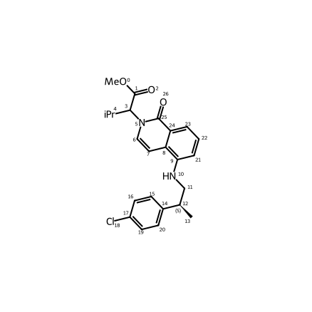 COC(=O)C(C(C)C)n1ccc2c(NC[C@@H](C)c3ccc(Cl)cc3)cccc2c1=O